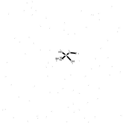 B.O[Si](O)(O)OF